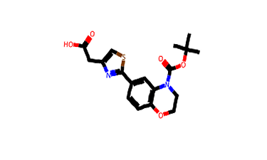 CC(C)(C)OC(=O)N1CCOc2ccc(-c3nc(CC(=O)O)cs3)cc21